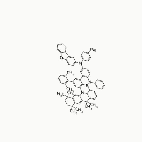 Cc1cccc(C)c1-c1cc2c3c(c1)N1c4cc5c(cc4C(C)(C)C4=CC=CC(B3N(c3ccccc3)c3ccc(N(c6ccc(C(C)(C)C)cc6)c6ccc7oc8ccccc8c7c6)cc3-2)C41)C(C)(C)CCC5(C)C